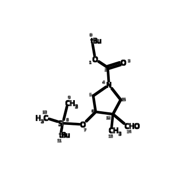 CC(C)(C)OC(=O)N1CC(O[Si](C)(C)C(C)(C)C)C(C)(C=O)C1